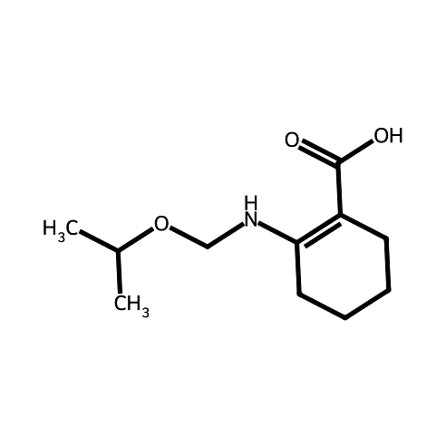 CC(C)OCNC1=C(C(=O)O)CCCC1